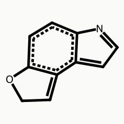 C1=Nc2ccc3c(c2=C1)=CCO3